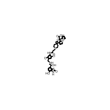 COc1cc(NC(=O)CCN2CCC3(CC2)CC(OC(C(=O)O)(c2cccs2)c2cccs2)C3)c(Cl)cc1CNC[C@H](O)c1ccc(O)c2[nH]c(=O)sc12